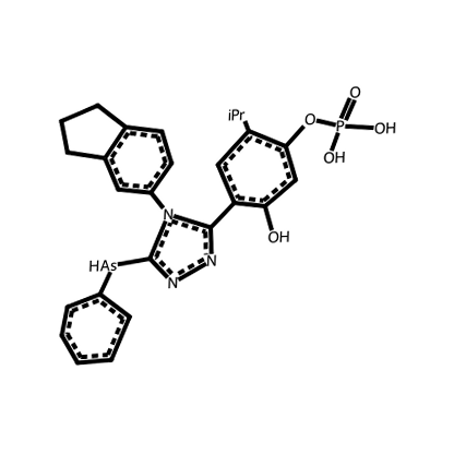 CC(C)c1cc(-c2nnc([AsH]c3ccccc3)n2-c2ccc3c(c2)CCC3)c(O)cc1OP(=O)(O)O